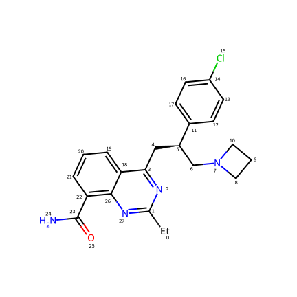 CCc1nc(C[C@H](CN2CCC2)c2ccc(Cl)cc2)c2cccc(C(N)=O)c2n1